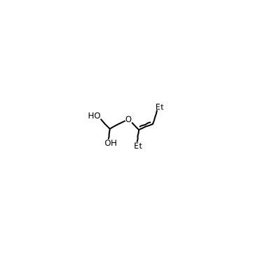 CCC=C(CC)OC(O)O